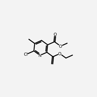 C=C(OCC)c1nc(Cl)c(C)cc1C(=O)OC